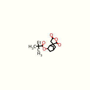 CCC(C)(C)C(=O)OC1CC2CC1C1(CC(=O)OC1=O)C2